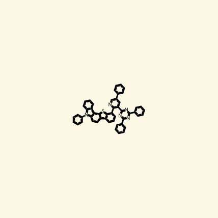 c1ccc(-c2cnc(-c3cccc4c3sc3c4ccc4c3c3ccccc3n4-c3ccccc3)c(-c3nc(-c4ccccc4)nc(-c4ccccc4)n3)c2)cc1